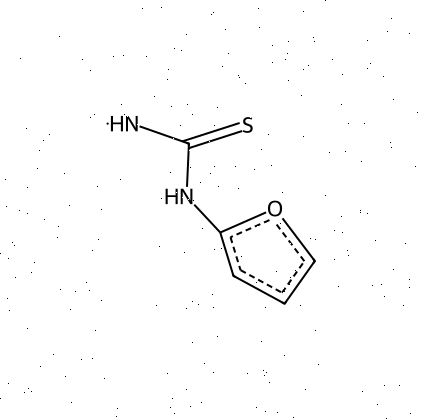 [NH]C(=S)Nc1ccco1